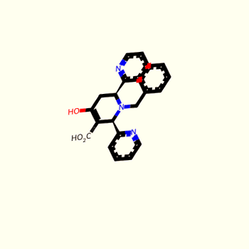 O=C(O)C1=C(O)C[C@@H](c2ccccn2)N(Cc2ccccc2)[C@H]1c1ccccn1